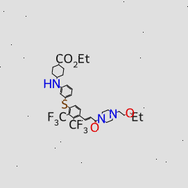 CCOCCN1CCN(C(=O)C=Cc2ccc(Sc3cccc(NC4CCC(C(=O)OCC)CC4)c3)c(C(F)(F)F)c2C(F)(F)F)CC1